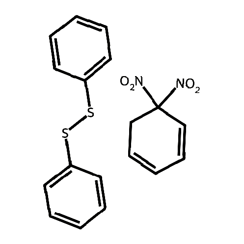 O=[N+]([O-])C1([N+](=O)[O-])C=CC=CC1.c1ccc(SSc2ccccc2)cc1